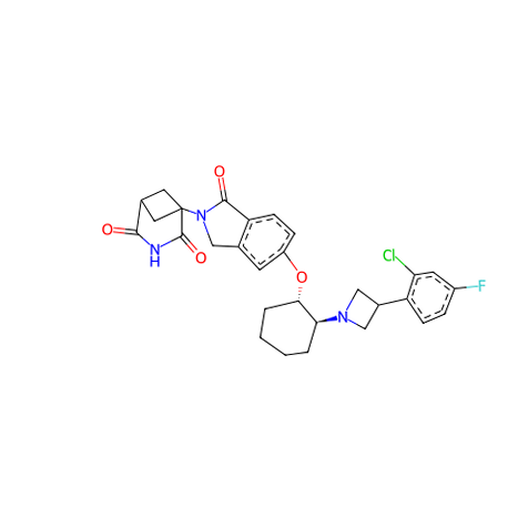 O=C1NC(=O)C2(N3Cc4cc(O[C@H]5CCCC[C@@H]5N5CC(c6ccc(F)cc6Cl)C5)ccc4C3=O)CC1C2